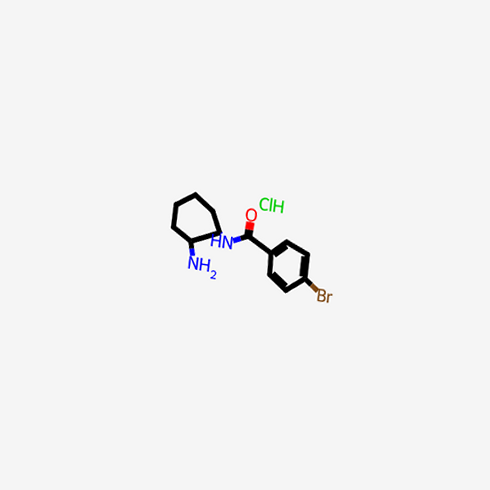 Cl.NC1CCCCC1NC(=O)c1ccc(Br)cc1